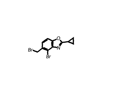 BrCc1ccc2oc(C3CC3)nc2c1Br